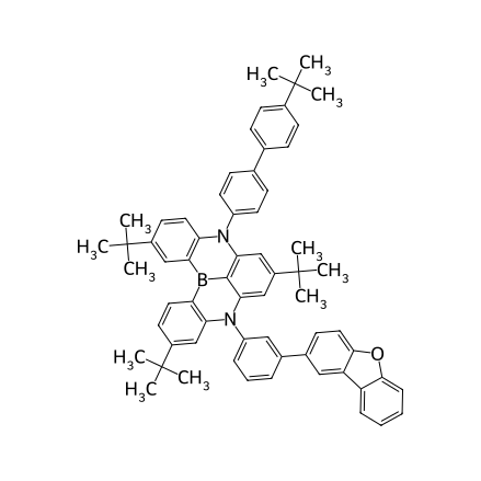 CC(C)(C)c1ccc(-c2ccc(N3c4ccc(C(C)(C)C)cc4B4c5ccc(C(C)(C)C)cc5N(c5cccc(-c6ccc7oc8ccccc8c7c6)c5)c5cc(C(C)(C)C)cc3c54)cc2)cc1